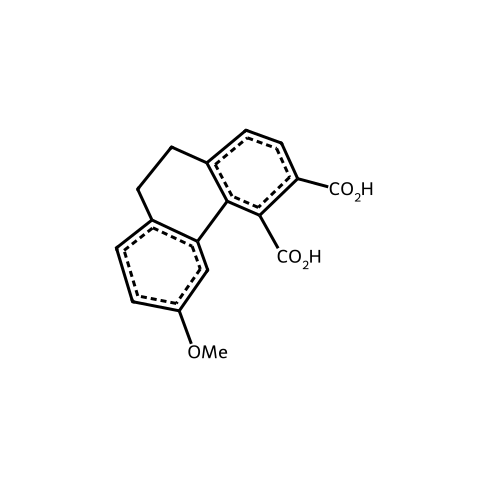 COc1ccc2c(c1)-c1c(ccc(C(=O)O)c1C(=O)O)CC2